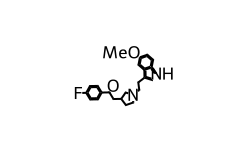 COc1ccc2[nH]cc(CCN3CCC(CC(=O)c4ccc(F)cc4)C3)c2c1